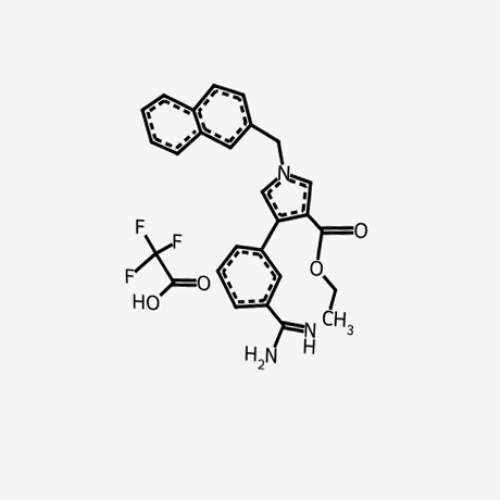 CCOC(=O)c1cn(Cc2ccc3ccccc3c2)cc1-c1cccc(C(=N)N)c1.O=C(O)C(F)(F)F